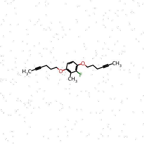 CC#CCCCOc1ccc(OCCCC#CC)c(F)c1C